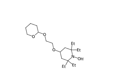 CCC1(CC)CC(OCCOC2CCCCO2)CC(CC)(CC)N1O